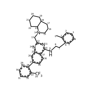 Cc1ccccc1CCNc1nc(CN2CCCC3CCCCC32)nc2cc(-c3ncccc3C(F)(F)F)ccc12